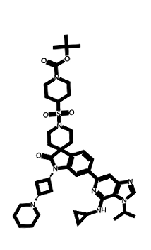 CC(C)n1cnc2cc(-c3ccc4c(c3)N([C@H]3C[C@@H](N5CCCCC5)C3)C(=O)C43CCN(S(=O)(=O)C4CCN(C(=O)OC(C)(C)C)CC4)CC3)nc(NC3CC3)c21